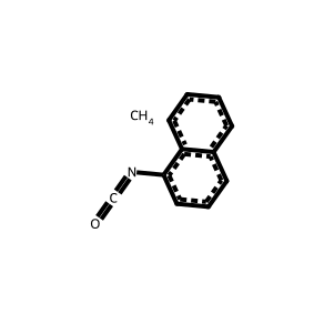 C.O=C=Nc1cccc2ccccc12